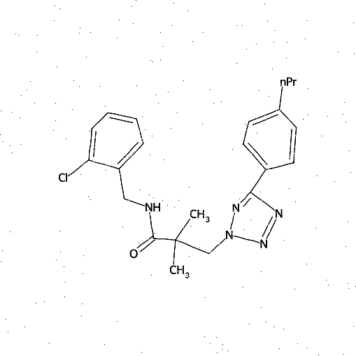 CCCc1ccc(-c2nnn(CC(C)(C)C(=O)NCc3ccccc3Cl)n2)cc1